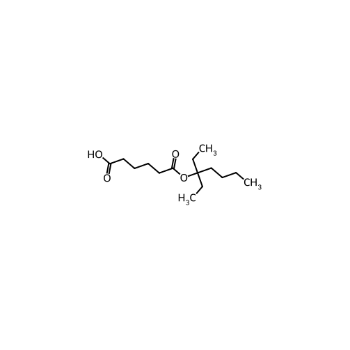 CCCCC(CC)(CC)OC(=O)CCCCC(=O)O